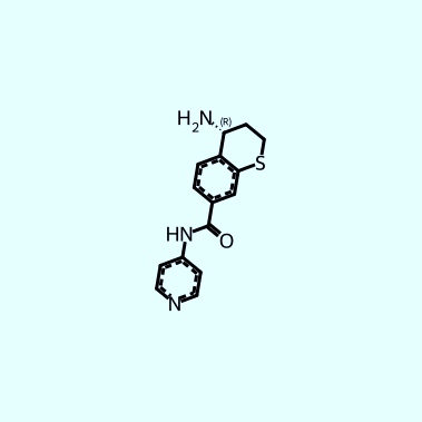 N[C@@H]1CCSc2cc(C(=O)Nc3ccncc3)ccc21